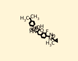 CC(C)c1ccc(S(=O)(=O)NC(Cc2ccc(-c3noc(C4(C)CC4)n3)c(F)c2)C(=O)O)cc1